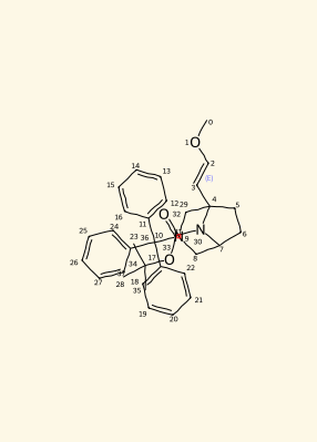 CO/C=C/C12CCC(CN(C(c3ccccc3)(c3ccccc3)c3ccccc3)C1)N2C(=O)OC(C)(C)C